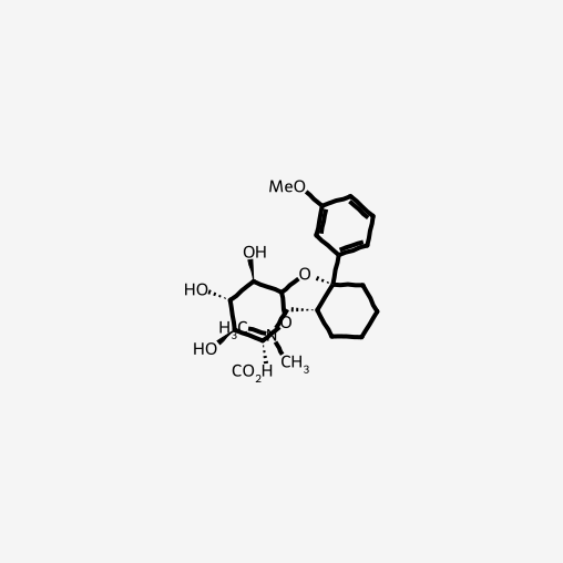 COc1cccc([C@@]2(OC3O[C@H](C(=O)O)[C@@H](O)[C@H](O)[C@H]3O)CCCC[C@@H]2CN(C)C)c1